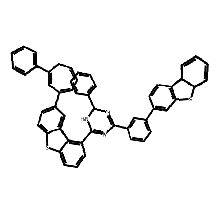 C1=CCC(c2ccccc2)=CC(c2ccc3sc4cccc(C5=NC(c6cccc(-c7ccc8c(c7)SC7C=CC=CC87)c6)=NC(c6ccccc6)N5)c4c3c2)=C1